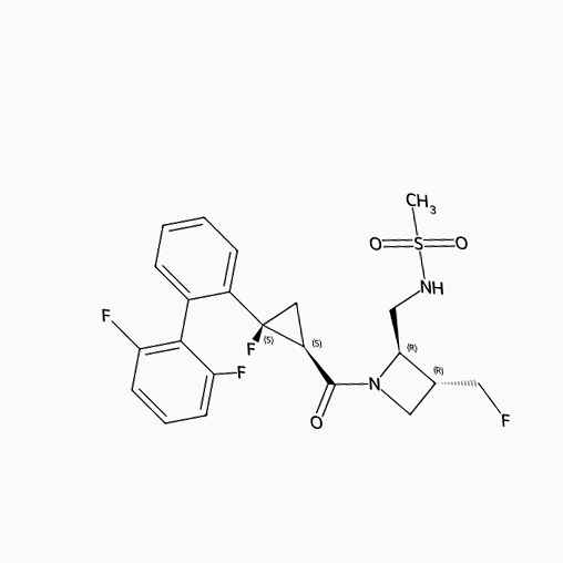 CS(=O)(=O)NC[C@H]1[C@H](CF)CN1C(=O)[C@@H]1C[C@@]1(F)c1ccccc1-c1c(F)cccc1F